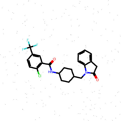 O=C(NC1CCC(CN2C(=O)Cc3ccccc32)CC1)c1cc(C(F)(F)F)ccc1Cl